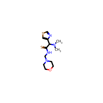 CN(C)C(C(=S)NCN1CCOCC1)c1cscn1